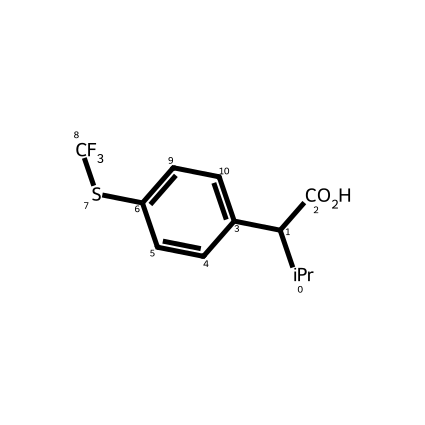 CC(C)C(C(=O)O)c1ccc(SC(F)(F)F)cc1